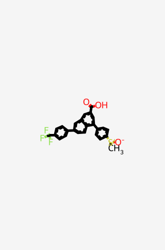 C[S+]([O-])c1ccc(-c2cc(C(=O)O)cc3cc(-c4ccc(C(F)(F)F)cc4)ccc23)cc1